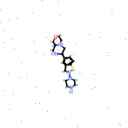 c1cc2c(cc1C1CN3CCOCC3CN1)CN(N1CCNCC1)S2